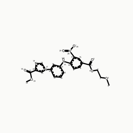 COCCOC(=O)c1ccc(Nc2cccc(-n3cnc(C(=O)OC)c3)c2)c([N+](=O)[O-])c1